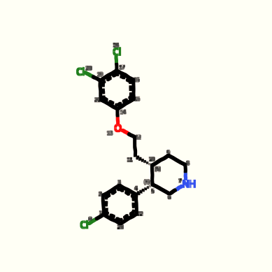 Clc1ccc([C@H]2CNCC[C@H]2CCOc2ccc(Cl)c(Cl)c2)cc1